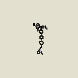 C=CC(=O)N(C)c1ccc(-c2ccc(C3CCC(CC/C=C/C)CC3)cc2)cc1F